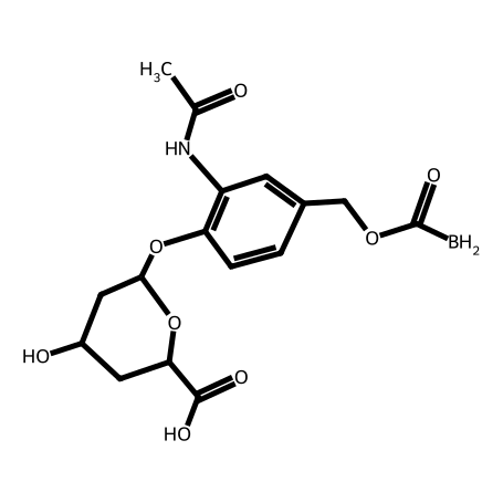 BC(=O)OCc1ccc(OC2CC(O)CC(C(=O)O)O2)c(NC(C)=O)c1